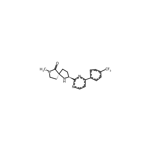 CN1CC[C@@]2(CC[C@@H](c3nccc(-c4ccc(C(F)(F)F)cc4)n3)N2)C1=O